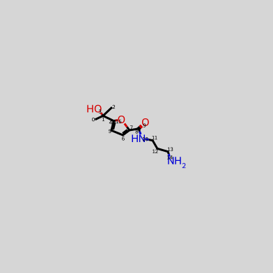 CC(C)(O)c1ccc(C(=O)NCCCN)o1